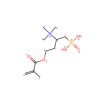 C=C(C)C(=O)OCCC(CP(=O)(O)O)[N+](C)(C)C